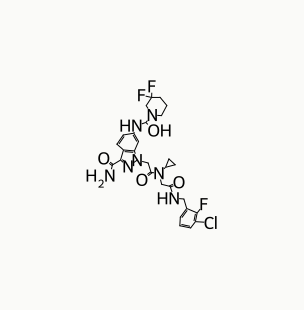 NC(=O)c1nn(CC(=O)N(CC(=O)NCc2cccc(Cl)c2F)C2CC2)c2cc(NC(O)N3CCCC(F)(F)C3)ccc12